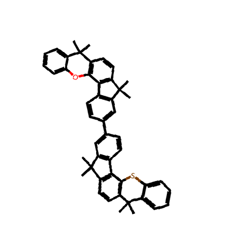 CC1(C)c2ccccc2Oc2c1ccc1c2-c2ccc(-c3ccc4c(c3)C(C)(C)c3ccc5c(c3-4)Sc3ccccc3C5(C)C)cc2C1(C)C